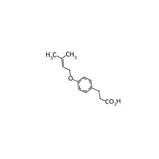 CC(C)=CCOc1ccc(CCC(=O)O)cc1